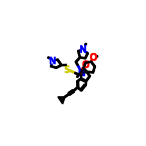 COC1CCC2(CC1)Cc1ccc(C#CC3CC3)cc1C21N=C(SCC2CCN(C)C2)N(CC2CCN(C)C2)C1=O